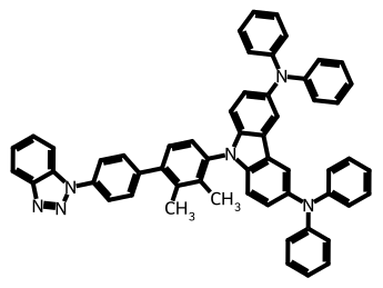 Cc1c(-c2ccc(-n3nnc4ccccc43)cc2)ccc(-n2c3ccc(N(c4ccccc4)c4ccccc4)cc3c3cc(N(c4ccccc4)c4ccccc4)ccc32)c1C